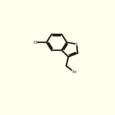 CC(=O)Cc1csc2ccc(Cl)cc12